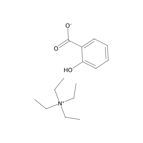 CC[N+](CC)(CC)CC.O=C([O-])c1ccccc1O